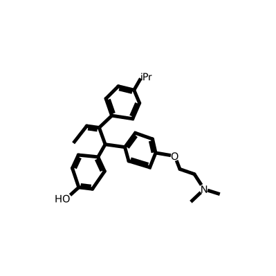 CC=C(c1ccc(C(C)C)cc1)C(c1ccc(O)cc1)c1ccc(OCCN(C)C)cc1